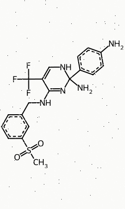 CS(=O)(=O)c1cccc(CNC2=NC(N)(c3ccc(N)cc3)NC=C2C(F)(F)F)c1